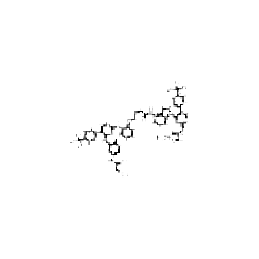 C=CC(=O)Nc1ccc(F)c(Nc2nc(Nc3ccccc3OC/C=C\C(=O)Nc3cccc4c3ccn4-c3nc(Nc4cnn(C)c4)ncc3-c3ccc(C(F)(F)F)cc3)ncc2-c2ccc(C(F)(F)F)cc2)c1